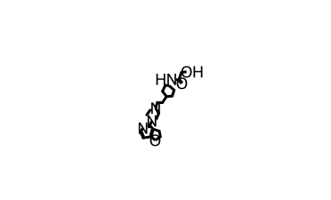 O=C(CO)NC1CCC(CCN2CCN(c3nccc4c3CCO4)CC2)CC1